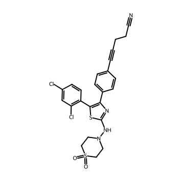 N#CCCC#Cc1ccc(-c2nc(NN3CCS(=O)(=O)CC3)sc2-c2ccc(Cl)cc2Cl)cc1